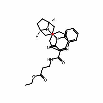 CCOC(=O)CCNC(=O)c1nc2ccccc2n([C@H]2C[C@H]3CC[C@@H](C2)N3C2CCCCCCC2)c1=O